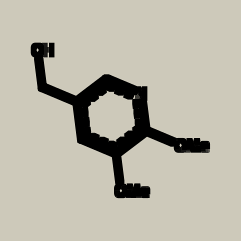 COc1cc(CO)cnc1OC